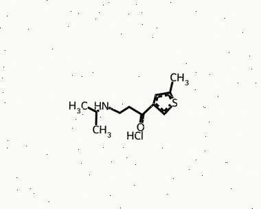 Cc1cc(C(=O)CCNC(C)C)cs1.Cl